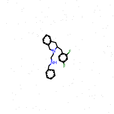 Fc1ccc(CC2Cc3ccccc3CN2CCNCc2ccccc2)c(F)c1